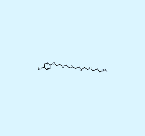 NCCCOCCOCCOCCOCCOc1ccc(Br)cn1